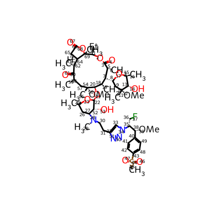 CC[C@H]1OC(=O)[C@H](C)C([C@H]2C[C@@](C)(OC)[C@@H](O)[C@H](C)O2)[C@H](C)[C@@H](O[C@@H]2O[C@H](C)C[C@H](N(C)CCc3cn([C@H](CF)[C@H](OC)c4ccc(S(C)(=O)=O)cc4)nn3)[C@H]2O)[C@](C)(OC)C[C@@H](C)C(=O)[C@H](C)[C@H]2CC(=O)O[C@@]21C